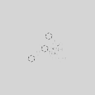 CCOC(=O)CN(c1ccc(C)c(OCc2ccccc2)c1)S(=O)(=O)NC(=O)OCc1ccccc1